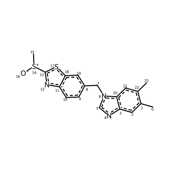 Cc1cc2ncn(Cc3ccc4nc([S+](C)[O-])sc4c3)c2cc1C